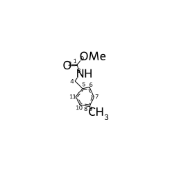 COC(=O)NCc1ccc(C)cc1